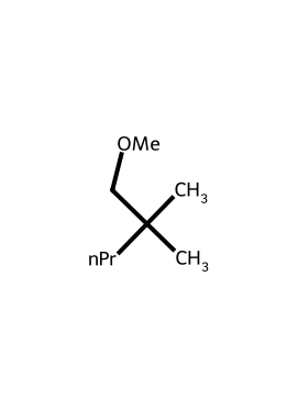 CCCC(C)(C)COC